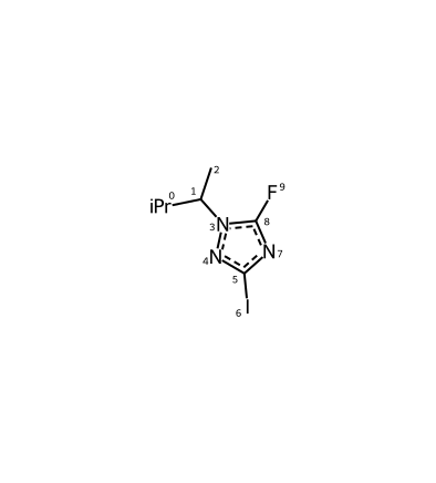 CC(C)C(C)n1nc(I)nc1F